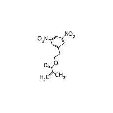 C=C(C)C(=O)OCCc1cc([N+](=O)[O-])cc([N+](=O)[O-])c1